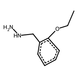 CCOc1ccccc1CNN